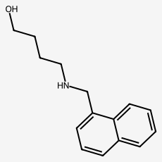 OCCCCNCc1cccc2ccccc12